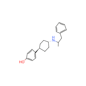 CC(Cc1ccccc1)N[C@H]1CC[C@H](c2ccc(O)cc2)CC1